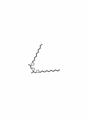 CCCCCCCCCCOCC(C)OCC(C)OCCCCCCCCCC